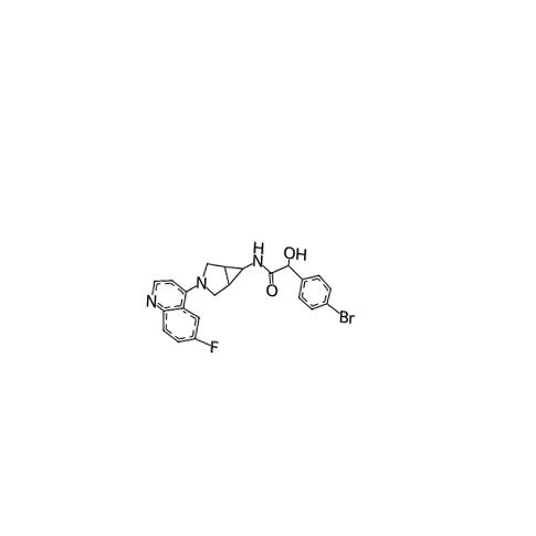 O=C(NC1C2CN(c3ccnc4ccc(F)cc34)CC21)C(O)c1ccc(Br)cc1